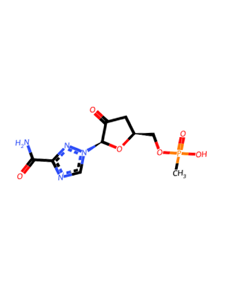 CP(=O)(O)OC[C@@H]1CC(=O)[C@H](n2cnc(C(N)=O)n2)O1